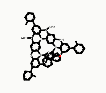 CSN1c2cc3c(cc2B2c4cc5c(cc4N(SC)c4cc(-c6ccccc6C)cc1c42)Oc1cc(-c2ccccc2C)cc2c1B5c1sc4ccccc4c1O2)B1c2sc4ccccc4c2Oc2cc(-c4ccccc4C)cc(c21)N3